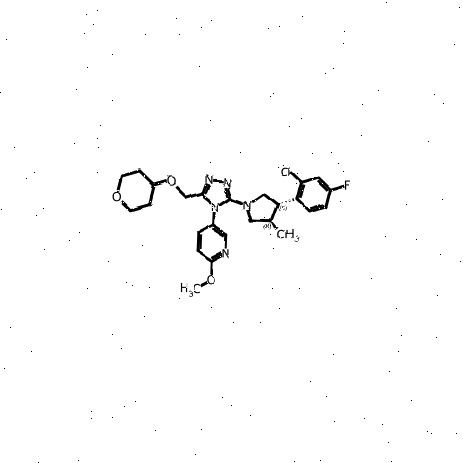 COc1ccc(-n2c(COC3CCOCC3)nnc2N2C[C@H](c3ccc(F)cc3Cl)[C@@H](C)C2)cn1